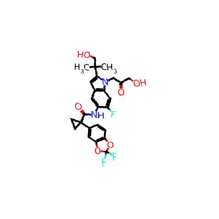 CC(C)(CO)c1cc2cc(NC(=O)C3(c4ccc5c(c4)OC(F)(F)O5)CC3)c(F)cc2n1CC(=O)CO